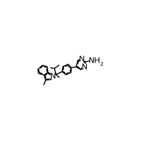 Cc1cn(C(C)(c2ccc(-c3cnc(N)nc3)cc2)C(C)C)c2ccccc12